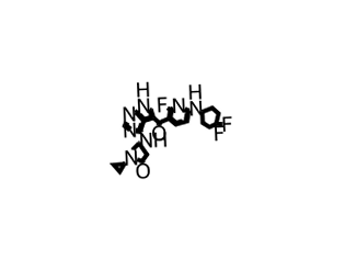 O=C(c1ccc(NC2CCC(F)(F)CC2)nc1F)c1c[nH]c2ncnc(NC3CC(=O)N(C4CC4)C3)c12